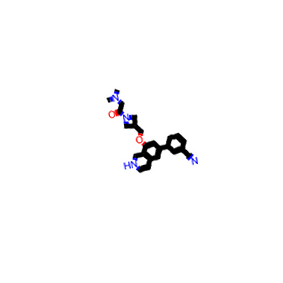 CN(C)CC(=O)N1CC(COc2cc(C3C=C(C#N)C=CC3)cc3c2CNC=C3)C1